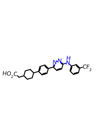 O=C(O)CC1CCC(c2ccc(-c3ccc(Nc4cccc(C(F)(F)F)c4)nn3)cc2)CC1